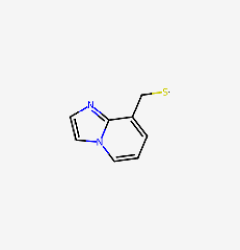 [S]Cc1cccn2ccnc12